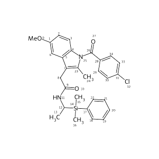 COc1ccc2c(c1)c(CC(=O)NC(C)[Si](C)(C)c1ccccc1)c(C)n2C(=O)c1ccc(Cl)cc1